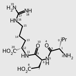 CC(C)[C@H](N)C(=O)N[C@@H](CC(=O)O)C(=O)N[C@@H](CCCNC(=N)N)C(=O)O